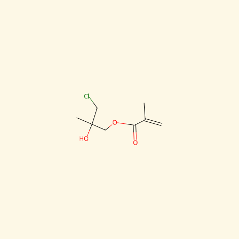 C=C(C)C(=O)OCC(C)(O)CCl